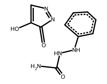 NC(=O)NNc1ccccc1.O=C1N=NC=C1O